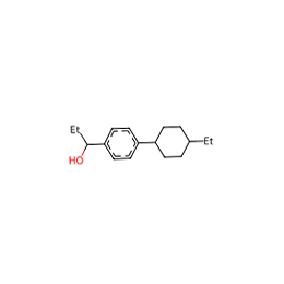 CCC1CCC(c2ccc(C(O)CC)cc2)CC1